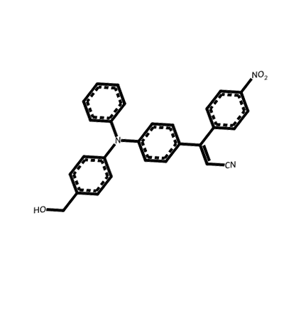 N#CC=C(c1ccc(N(c2ccccc2)c2ccc(CO)cc2)cc1)c1ccc([N+](=O)[O-])cc1